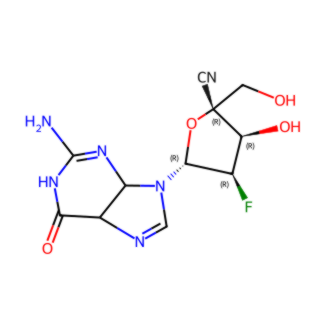 N#C[C@]1(CO)O[C@@H](N2C=NC3C(=O)NC(N)=NC32)[C@H](F)[C@@H]1O